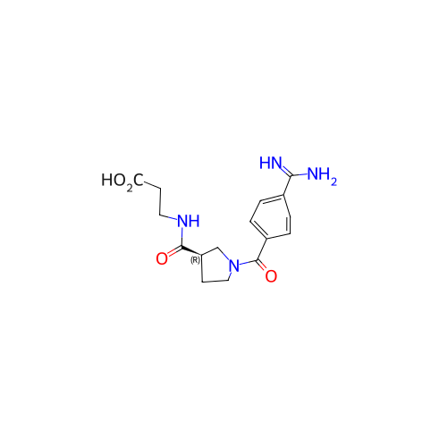 N=C(N)c1ccc(C(=O)N2CC[C@@H](C(=O)NCCC(=O)O)C2)cc1